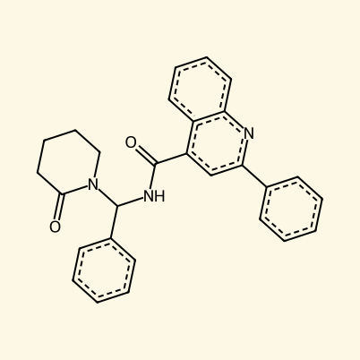 O=C(NC(c1ccccc1)N1CCCCC1=O)c1cc(-c2ccccc2)nc2ccccc12